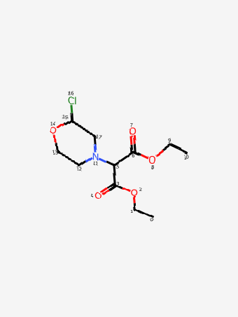 CCOC(=O)C(C(=O)OCC)N1CCOC(Cl)C1